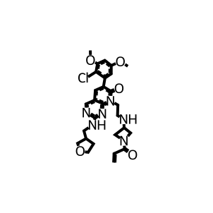 C=CC(=O)N1CC(NCCn2c(=O)c(-c3cc(OC)cc(OC)c3Cl)cc3cnc(NCC4CCOC4)nc32)C1